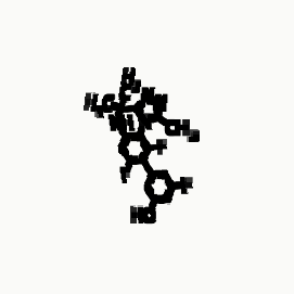 Cc1nnc2n1-c1c(cc(F)c(-c3cc(O)cc(F)c3)c1F)NC2(C)C